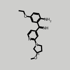 CCOc1ccc(N)c(C(=N)c2ccnc(N3CC[C@@H](OC)C3)c2)c1